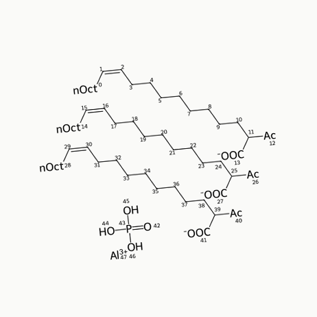 CCCCCCCC/C=C\CCCCCCCCC(C(C)=O)C(=O)[O-].CCCCCCCC/C=C\CCCCCCCCC(C(C)=O)C(=O)[O-].CCCCCCCC/C=C\CCCCCCCCC(C(C)=O)C(=O)[O-].O=P(O)(O)O.[Al+3]